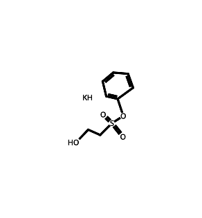 O=S(=O)(CCO)Oc1ccccc1.[KH]